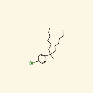 CCCCCCC(C)(CCCCCC)c1ccc(Br)cc1